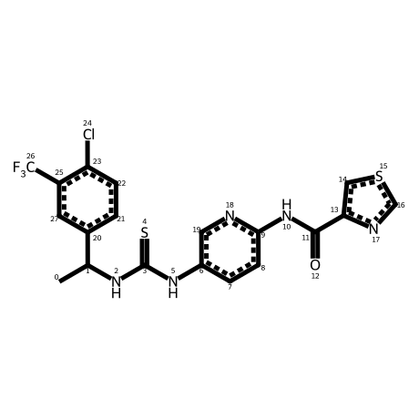 CC(NC(=S)Nc1ccc(NC(=O)c2cscn2)nc1)c1ccc(Cl)c(C(F)(F)F)c1